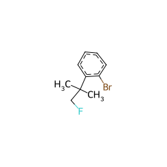 CC(C)(CF)c1ccccc1Br